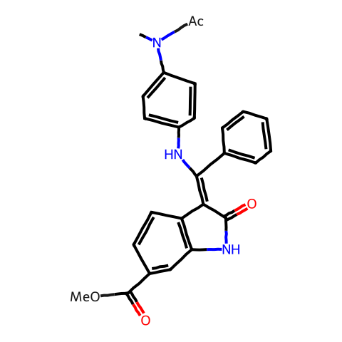 COC(=O)c1ccc2c(c1)NC(=O)C2=C(Nc1ccc(N(C)C(C)=O)cc1)c1ccccc1